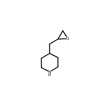 C1CC(CC2CO2)CCN1